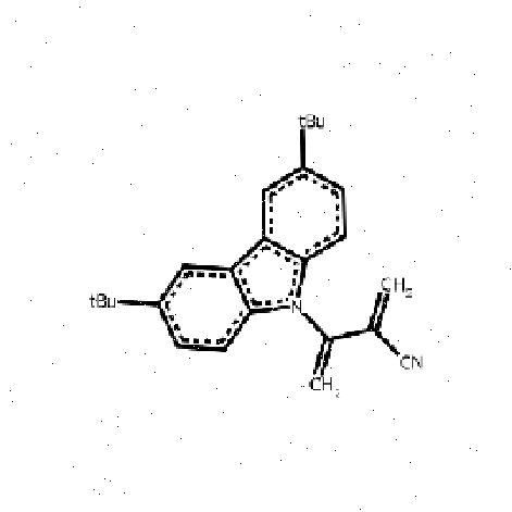 C=C(C#N)C(=C)n1c2ccc(C(C)(C)C)cc2c2cc(C(C)(C)C)ccc21